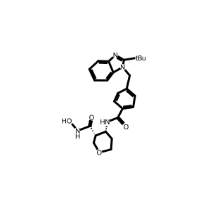 CC(C)(C)c1nc2ccccc2n1Cc1ccc(C(=O)N[C@@H]2CCOC[C@@H]2C(=O)NO)cc1